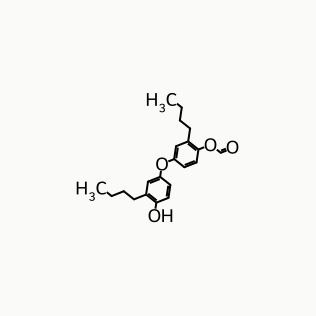 CCCCc1cc(Oc2ccc(OC=O)c(CCCC)c2)ccc1O